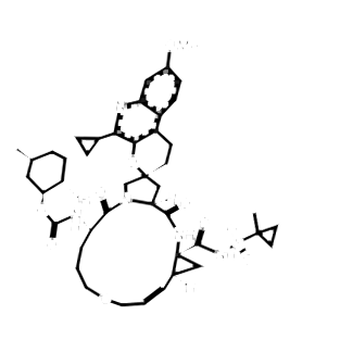 COc1ccc2c3c(c(C4CC4)nc2c1)O[C@]1(CC3)C[C@H]2C(=O)N[C@]3(C(=O)NS(=O)(=O)C4(C)CC4)C[C@H]3/C=C\CCCCC[C@H](NC(=O)O[C@H]3C[C@@H](C)CC[C@@H]3C(C)C)C(=O)N2C1